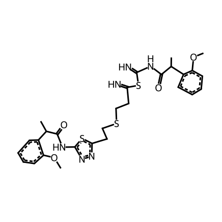 COc1ccccc1C(C)C(=O)NC(=N)SC(=N)CCSCCc1nnc(NC(=O)C(C)c2ccccc2OC)s1